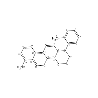 Cc1ccccc1C1=c2ccc3c(c2CCC1)CC=c1c(N)cccc1=3